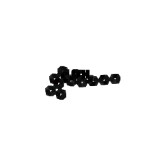 CC1(C)c2cc(-c3ccc(-c4ccc(-c5ccccc5)cc4)cc3)ccc2-c2ccc(N(c3ccc4c5ccccc5c5ccccc5c4c3)c3ccccc3-c3ccccc3)cc21